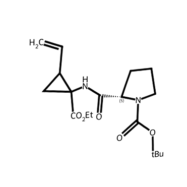 C=CC1CC1(NC(=O)[C@@H]1CCCN1C(=O)OC(C)(C)C)C(=O)OCC